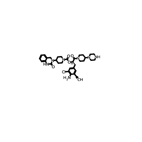 C#Cc1cc(C[C@@H](OC(=O)N2CCC(N3Cc4ccccc4NC3=O)CC2)C(=O)N2CCC(N3CCNCC3)CC2)cc(Cl)c1N